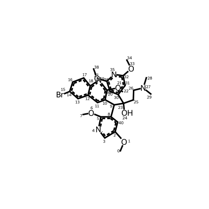 COc1cnc(OC)c(C(c2cc3cc(Br)ccc3nc2OC)C(O)(CCN(C)C)c2cc(OC)nc(OC)c2)c1